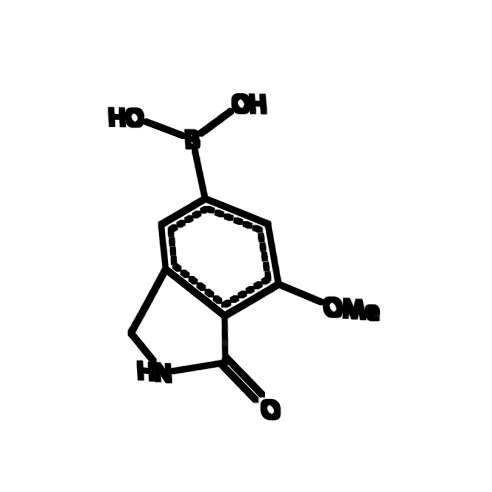 COc1cc(B(O)O)cc2c1C(=O)NC2